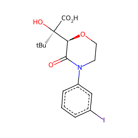 CC(C)(C)[C@](O)(C(=O)O)[C@H]1OCCN(c2cccc(I)c2)C1=O